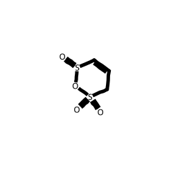 O=S1C=CCS(=O)(=O)O1